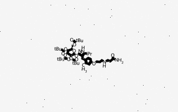 Cc1cc(OCCCNCCC(N)=O)ccc1Cc1c(O[C@@H]2O[C@H](COC(=O)C(C)(C)C)[C@@H](OC(=O)C(C)(C)C)[C@H](OC(=O)C(C)(C)C)[C@H]2OC(=O)C(C)(C)C)n[nH]c1C(C)C